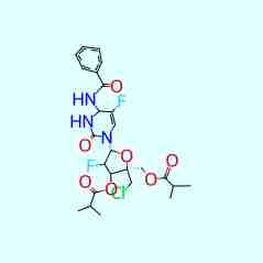 CC(C)C(=O)OC[C@@]1(CCl)O[C@@H](N2C=C(F)C(NC(=O)c3ccccc3)NC2=O)[C@H](F)[C@@H]1OC(=O)C(C)C